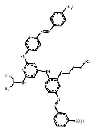 CC(Nc1nc(Nc2ccc(N=Nc3ccc(S(=O)(=O)O)cc3)cc2)nc(Nc2ccc(N=Nc3cccc(S(=O)(=O)O)c3)cc2OCCCS(=O)(=O)O)n1)S(=O)(=O)O